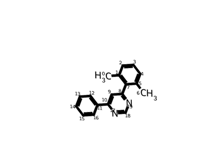 Cc1cccc(C)c1-c1cc(-c2ccccc2)ncn1